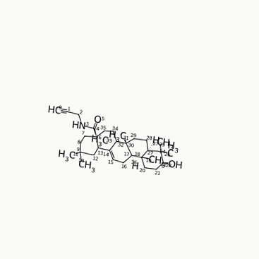 C#CCNC(=O)[C@]12CCC(C)(C)CC1C1=CC[C@@H]3C4(C)CC[C@H](O)C(C)(C)[C@@H]4CC[C@@]3(C)[C@]1(C)CC2